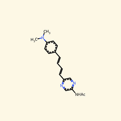 CC(=O)Nc1cnc(/C=C/C=C/c2ccc(N(C)C)cc2)cn1